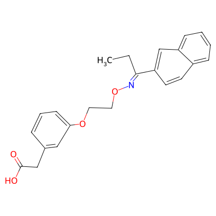 CCC(=NOCCOc1cccc(CC(=O)O)c1)c1ccc2ccccc2c1